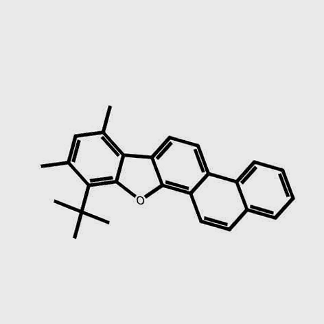 Cc1cc(C)c2c(oc3c4ccc5ccccc5c4ccc32)c1C(C)(C)C